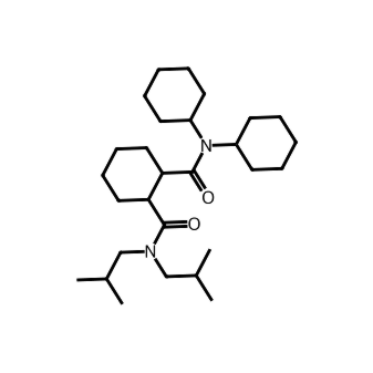 CC(C)CN(CC(C)C)C(=O)C1CCCCC1C(=O)N(C1CCCCC1)C1CCCCC1